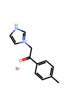 Cc1ccc(C(=O)C[n+]2cc[nH]c2)cc1.[Br-]